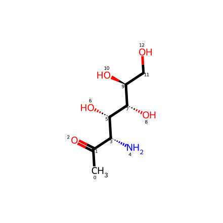 CC(=O)[C@@H](N)[C@H](O)[C@@H](O)[C@@H](O)CO